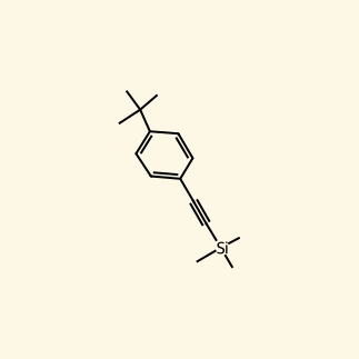 CC(C)(C)c1ccc(C#C[Si](C)(C)C)cc1